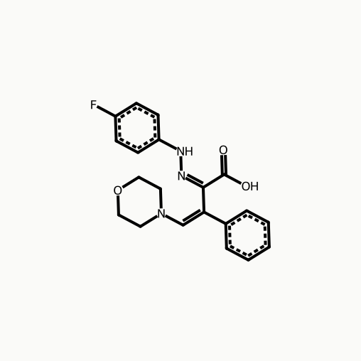 O=C(O)C(=NNc1ccc(F)cc1)C(=CN1CCOCC1)c1ccccc1